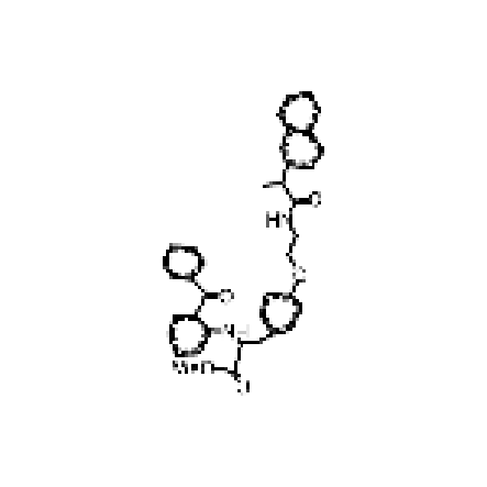 COC(=O)C(Cc1ccc(OCCNC(=O)C(C)c2ccc3ccccc3c2)cc1)Nc1ccccc1C(=O)c1ccccc1